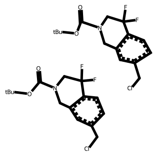 CC(C)(C)OC(=O)N1Cc2cc(CCl)ccc2C(F)(F)C1.CC(C)(C)OC(=O)N1Cc2cc(CCl)ccc2C(F)(F)C1